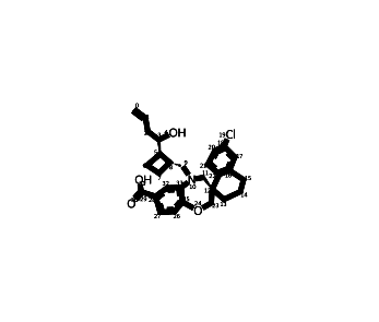 C=CCC(O)[C@@H]1CC[C@H]1CN1C[C@@]2(CCCc3cc(Cl)ccc32)COc2ccc(C(=O)O)cc21